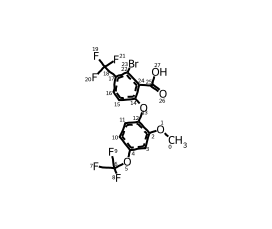 COc1cc(OC(F)(F)F)ccc1Oc1ccc(C(F)(F)F)c(Br)c1C(=O)O